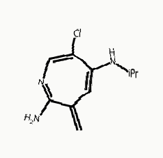 C=C1C=C(NC(C)C)C(Cl)=CN=C1N